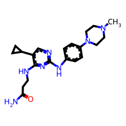 CN1CCN(c2ccc(Nc3ncc(C4CC4)c(NCCC(N)=O)n3)cc2)CC1